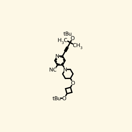 CC(C)(C)OC1CC(OC2CCN(c3cc(C#CC(C)(C)OC(C)(C)C)ncc3C#N)CC2)C1